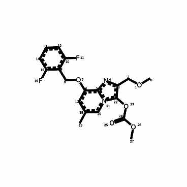 COCc1nc2c(OCc3c(F)cccc3F)cc(C)cn2c1OC(=O)OC